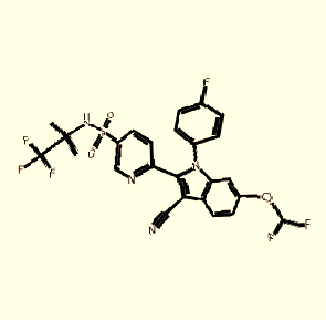 CC(C)(NS(=O)(=O)c1ccc(-c2c(C#N)c3ccc(OC(F)F)cc3n2-c2ccc(F)cc2)nc1)C(F)(F)F